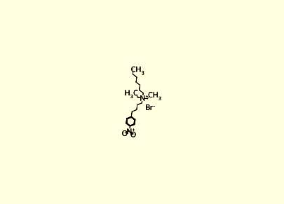 CCCCCCC[N+](CC)(CC)CCCCc1ccc([N+](=O)[O-])cc1.[Br-]